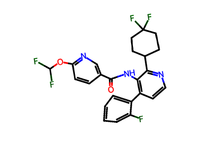 O=C(Nc1c(-c2ccccc2F)ccnc1C1CCC(F)(F)CC1)c1ccc(OC(F)F)nc1